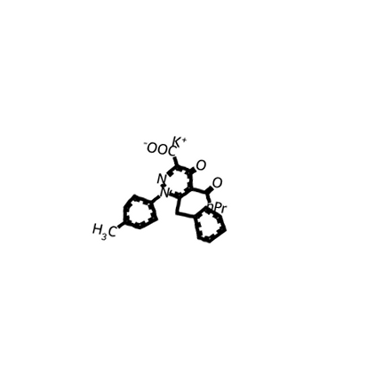 CCCC(=O)c1c(Cc2ccccc2)n(-c2ccc(C)cc2)nc(C(=O)[O-])c1=O.[K+]